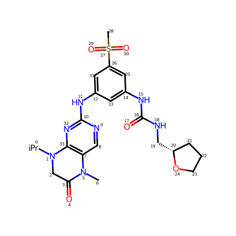 CC(C)N1CC(=O)N(C)c2cnc(Nc3cc(NC(=O)NC[C@@H]4CCCO4)cc(S(C)(=O)=O)c3)nc21